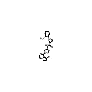 Cc1ccccc1-n1ccc(C(=O)N[C@H]2CCN(c3nccn4ccc(C)c34)C2)n1